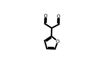 O=CC(C=O)c1ccco1